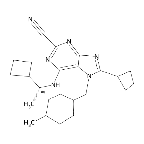 CC1CCC(Cn2c(C3CCC3)nc3nc(C#N)nc(N[C@H](C)C4CCC4)c32)CC1